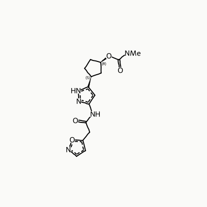 CNC(=O)O[C@@H]1CC[C@H](c2cc(NC(=O)Cc3ccno3)n[nH]2)C1